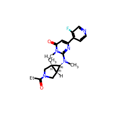 CCC(=O)N1C[C@@H]2[C@@H](N(C)c3nc(-c4ccncc4F)cc(=O)n3C)[C@]2(C)C1